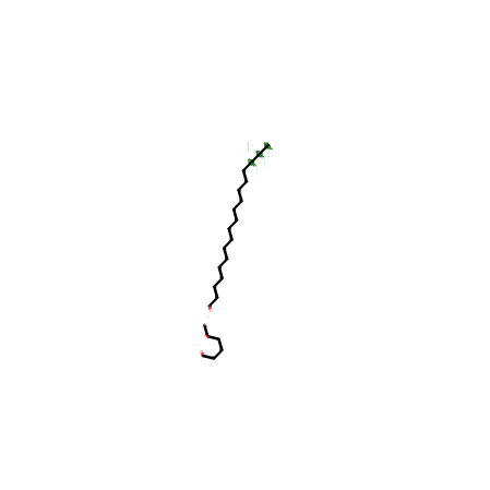 FC(F)(F)C(F)(F)C(F)(F)C(F)(F)CCCCCCCCCCCCCCCOCC1CCCCO1